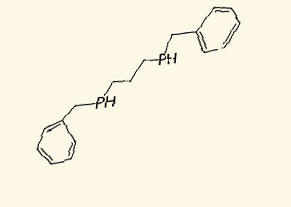 c1ccc(CPCCCPCc2ccccc2)cc1